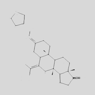 C[C@]12CC/C(=N\O[C@@H]3CCNC3)CC1C(=C(F)F)C[C@@H]1[C@@H]2CC[C@]2(C)C(=O)CC[C@@H]12.Cl